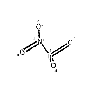 O=[N+]([O-])[Ti](=[O])=[O]